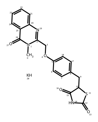 Cn1c(COc2ccc(CC3SC(=O)NC3=O)cc2)nc2ccccc2c1=O.[KH]